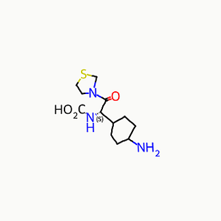 NC1CCC([C@H](NC(=O)O)C(=O)N2CCSC2)CC1